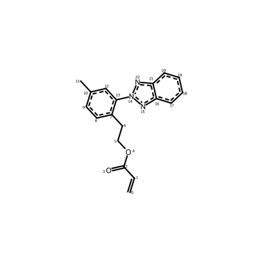 C=CC(=O)OCCc1ccc(C)cc1-n1nc2ccccc2n1